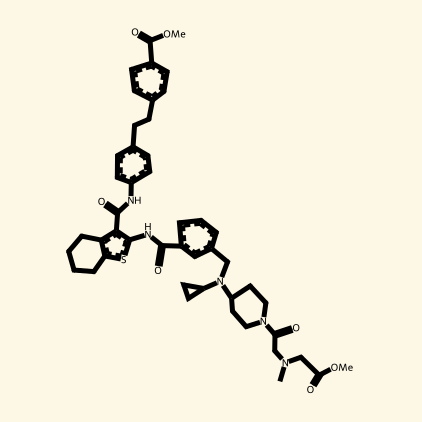 COC(=O)CN(C)CC(=O)N1CCC(N(Cc2cccc(C(=O)Nc3sc4c(c3C(=O)Nc3ccc(CCc5ccc(C(=O)OC)cc5)cc3)CCCC4)c2)C2CC2)CC1